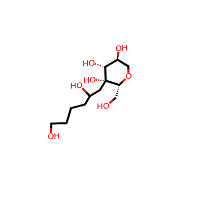 OCCCCC(O)C[C@@]1(O)[C@H](O)[C@@H](O)CO[C@@H]1CO